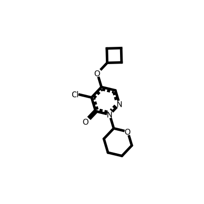 O=c1c(Cl)c(OC2CCC2)cnn1C1CCCCO1